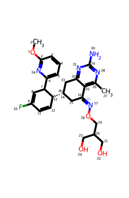 COc1cccc(C2C=C(F)C=CC2[C@H]2C/C(=N\OCC(CO)CO)c3c(C)nc(N)nc3C2)n1